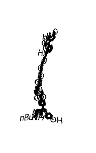 CCCCNc1ncc2c(-c3ccc(S(=O)(=O)N4CCN(CCOCCOCCOCCOCCNc5cccc6c5N(C)C(=O)C6C5CCC(=O)NC5=O)CC4)cc3)cn([C@H]3CC[C@H](O)CC3)c2n1